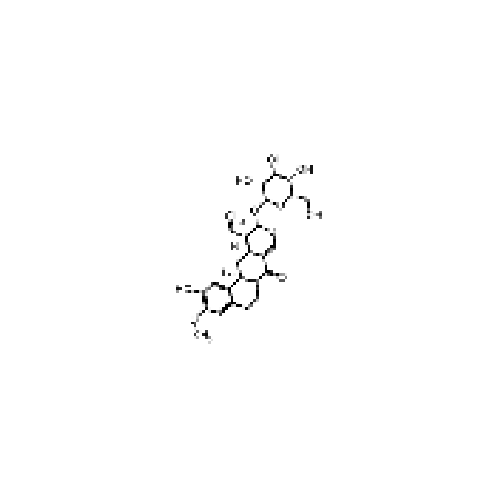 C=C[C@H]1[C@H](O[C@@H]2O[C@H](CO)[C@@H](O)[C@H](O)[C@H]2O)OC=C2C(=O)N3CCc4cc(OC)c(O)cc4[C@H]3C[C@H]21